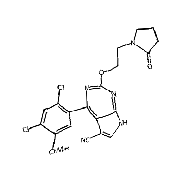 COc1cc(-c2nc(OCCN3CCCC3=O)nc3[nH]cc(C#N)c23)c(Cl)cc1Cl